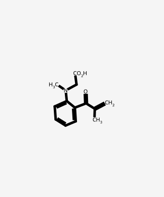 C=C(C)C(=O)c1ccccc1N(C)CC(=O)O